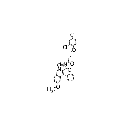 COc1ccc2c(c1)C(c1ccccc1)=C(C(=O)NC(=O)CCCOc1ccc(Cl)cc1Cl)N(C)C2